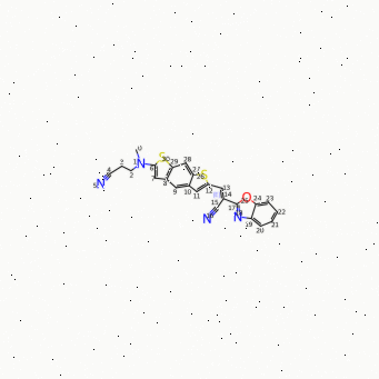 CN(CCC#N)c1cc2cc3cc(/C=C(\C#N)c4nc5ccccc5o4)sc3cc2s1